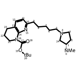 CN[C@H]1CCN(CCCCCc2ccc3c(n2)N(C(=O)OC(C)(C)C)CCC3)C1